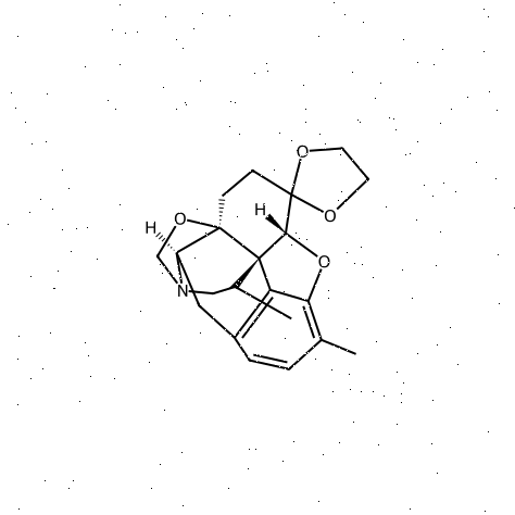 Cc1ccc2c3c1O[C@H]1C4(CC[C@]56OCN(CC(C)[C@]315)[C@@H]6C2)OCCO4